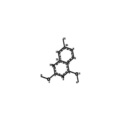 COc1nc(OC)c2ccc(C)cc2n1